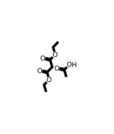 CC(=O)O.CCOC(=O)CC(=O)OCC